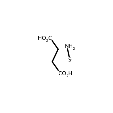 N[S].O=C(O)CCC(=O)O